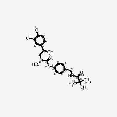 CN(CC(O)c1ccc(Cl)c(Cl)c1)C(=O)Nc1ccc(CNC(=O)C(C)(C)C)cc1